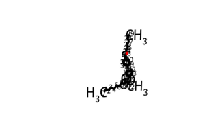 CCCCCCCCOC(=O)[C@@H](C)Oc1ccc(-c2ccc(SCCCCCCC)cc2)cc1